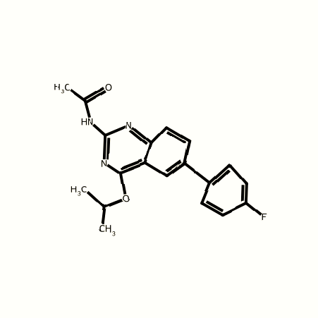 CC(=O)Nc1nc(OC(C)C)c2cc(-c3ccc(F)cc3)ccc2n1